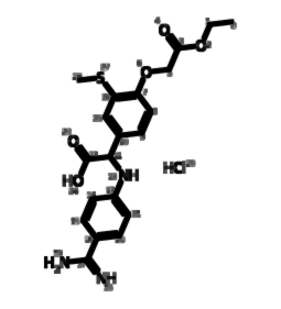 CCOC(=O)COc1ccc(C(Nc2ccc(C(=N)N)cc2)C(=O)O)cc1SC.Cl